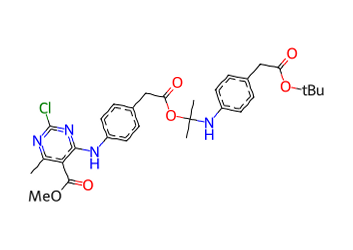 COC(=O)c1c(C)nc(Cl)nc1Nc1ccc(CC(=O)OC(C)(C)Nc2ccc(CC(=O)OC(C)(C)C)cc2)cc1